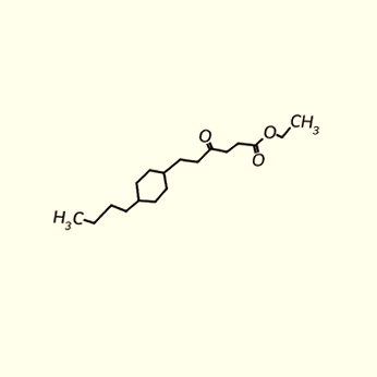 CCCCC1CCC(CCC(=O)CCC(=O)OCC)CC1